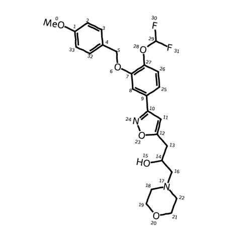 COc1ccc(COc2cc(-c3cc(CC(O)CN4CCOCC4)on3)ccc2OC(F)F)cc1